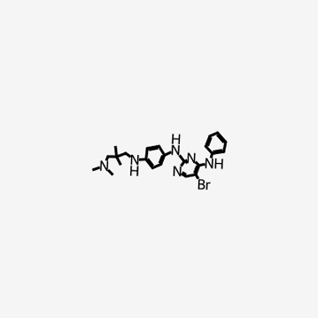 CN(C)CC(C)(C)CNc1ccc(Nc2ncc(Br)c(Nc3ccccc3)n2)cc1